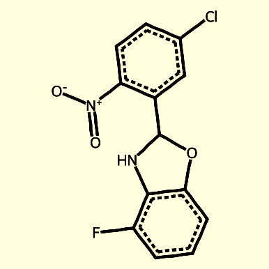 O=[N+]([O-])c1ccc(Cl)cc1C1Nc2c(F)cccc2O1